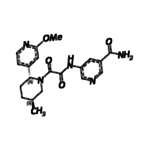 COc1cc([C@H]2CC[C@H](C)CN2C(=O)C(=O)Nc2cncc(C(N)=O)c2)ccn1